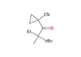 CCCCC(C)(CC)C(=O)C1(C#N)CC1